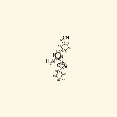 N#CCc1cccc(-c2cnc(N)c(-c3nnc(-c4ccccc4)o3)n2)c1